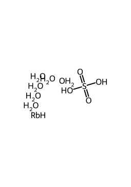 O.O.O.O.O.O.O=S(=O)(O)O.[RbH]